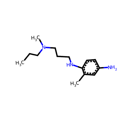 CCCN(C)CCCNc1ccc(N)cc1C